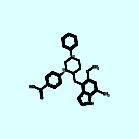 COc1cc(C)c2[nH]ccc2c1CN1CC[C@H](c2ccccc2)C[C@H]1c1ccc(C(=O)O)cc1